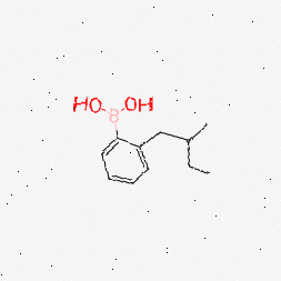 CCC(C)Cc1ccccc1B(O)O